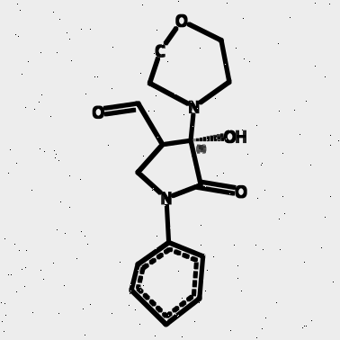 O=CC1CN(c2ccccc2)C(=O)[C@]1(O)N1CCOCC1